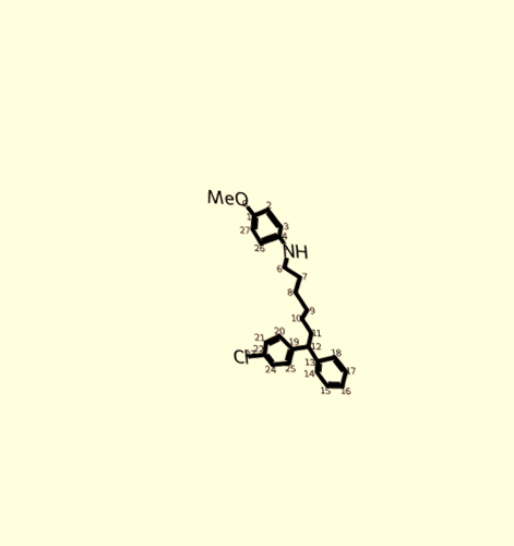 COc1ccc(NCCCCCCC(c2ccccc2)c2ccc(Cl)cc2)cc1